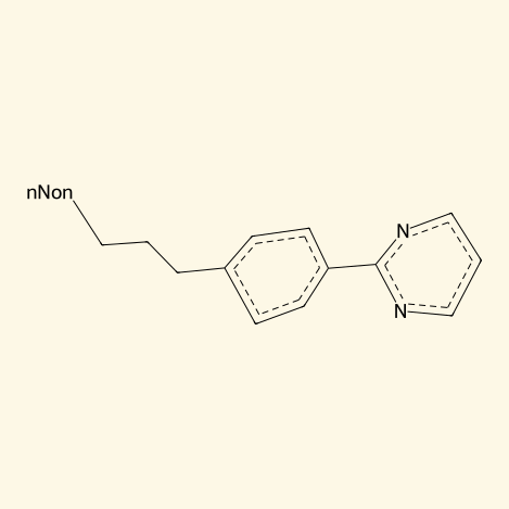 CCCCCCCCCCCCc1ccc(-c2ncccn2)cc1